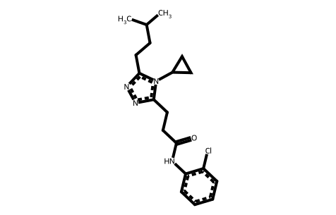 CC(C)CCc1nnc(CCC(=O)Nc2ccccc2Cl)n1C1CC1